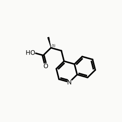 C[C@@H](Cc1ccnc2ccccc12)C(=O)O